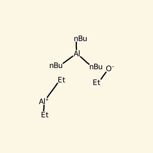 CCC[CH2][Al]([CH2]CCC)[CH2]CCC.CC[O-].C[CH2][Al+][CH2]C